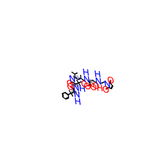 CN[C@H](C(=O)N[C@H](C(=O)N(C)[C@H](/C=C(\C)C(=O)N[C@@H](CC(=O)NCCN1C(=O)C=CC1=O)C(=O)O)C(C)C)C(C)(C)C)C(C)(C)c1ccccc1